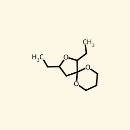 CCC1CC2(OCCCO2)C(CC)O1